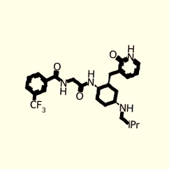 CC(C)CN[C@@H]1CC[C@H](NC(=O)CNC(=O)c2cccc(C(F)(F)F)c2)[C@@H](Cc2ccc[nH]c2=O)C1